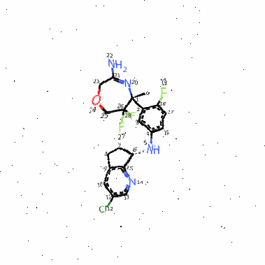 C[C@]1(c2cc(N[C@H]3CCc4cc(Cl)cnc43)ccc2F)N=C(N)COCC1(F)F